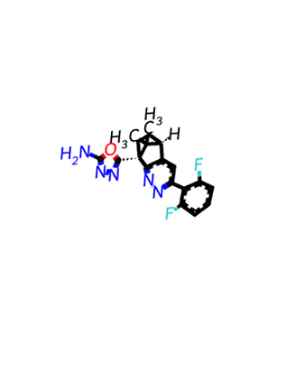 CC1(C)[C@H]2CC[C@]1(c1nnc(N)o1)c1nnc(-c3c(F)cccc3F)cc12